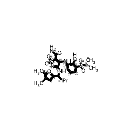 Cc1cc(C(NC2=NS(=O)(=O)C(C(N)=O)=C2Nc2cccc(S(=O)(=O)N(C)C)c2O)C(C)C)oc1C